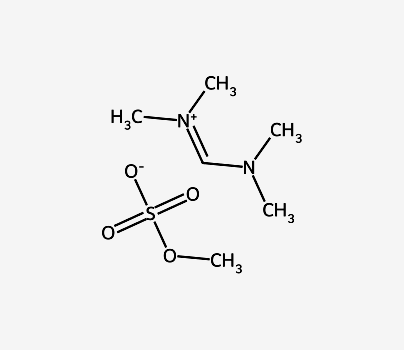 CN(C)C=[N+](C)C.COS(=O)(=O)[O-]